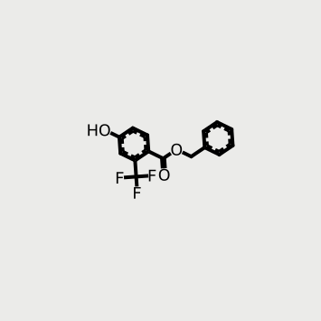 O=C(OCc1ccccc1)c1ccc(O)cc1C(F)(F)F